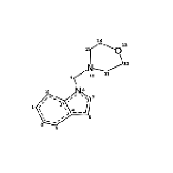 c1ccc2c(c1)ccn2CN1CCOCC1